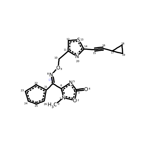 Cn1oc(=O)nc1/C(=N\OCc1csc(C#CC2CC2)n1)c1ccccc1